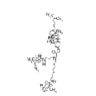 CC(C)CCCC[C@H]1CC[C@H]2[C@@H]3CC=C4C[C@@H](OC(=O)CN(CCCCCCCCNC(=O)OC(C)(C)C)CCCNC(=O)OC(C)(C)C)CC[C@]4(C)[C@H]3CC[C@]12C